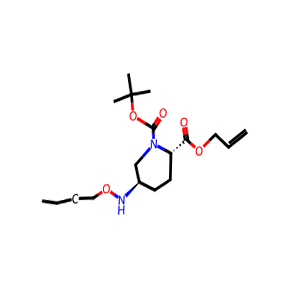 C=CCOC(=O)[C@@H]1CC[C@@H](NOCCCC)CN1C(=O)OC(C)(C)C